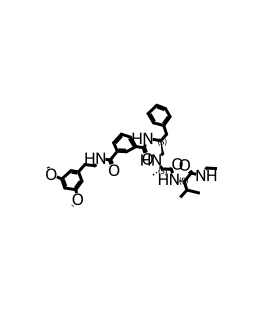 CCNC(=O)[C@@H](NC(=O)[C@H](C)NC[C@H](Cc1ccccc1)NC(=O)c1cccc(C(=O)NCCc2cc(OC)cc(OC)c2)c1)C(C)C